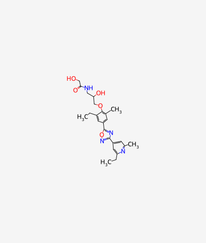 CCc1cc(-c2noc(-c3cc(C)c(OCC(O)CNC(=O)CO)c(CC)c3)n2)cc(C)n1